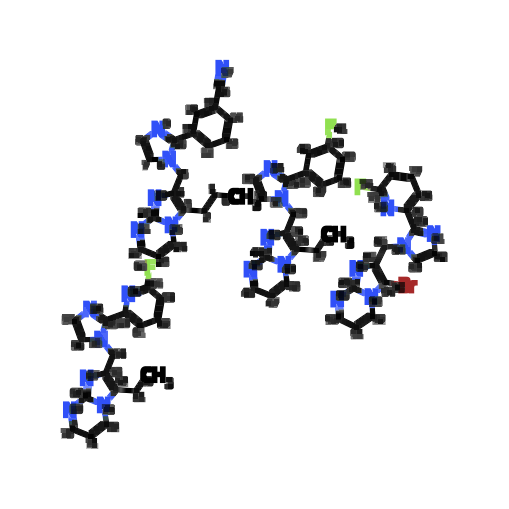 CCCc1c(Cn2ccnc2-c2cccc(C#N)c2)nc2ncccn12.CCc1c(Cn2ccnc2-c2cccc(F)c2)nc2ncccn12.CCc1c(Cn2ccnc2-c2cccc(F)n2)nc2ncccn12.Fc1cccc(-c2nccn2Cc2nc3ncccn3c2Br)n1